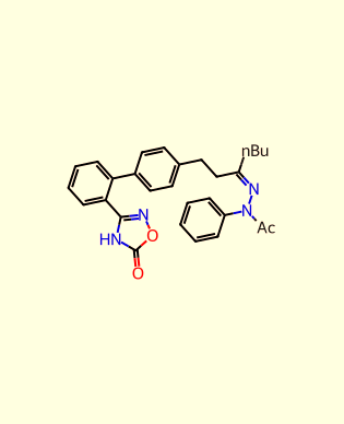 CCCC/C(CCc1ccc(-c2ccccc2-c2noc(=O)[nH]2)cc1)=N/N(C(C)=O)c1ccccc1